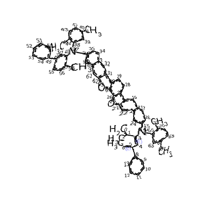 C=C(C)/C(=C\C(=C/C)c1ccccc1)N(c1ccc2cc3c(cc2c1)oc1c3ccc2c3cc4ccc(N(c5cc(C)ccc5C)c5cc(-c6ccccc6)ccc5C)cc4cc3oc21)c1cc(C)ccc1C